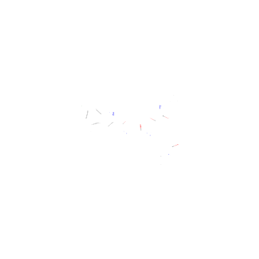 O=C(NC1CC1)C(=O)C(C[C@H]1CC2(CC2)NC1=O)NC(=O)[C@@H]1[C@H]2CCC[C@H]2CN1C(=O)c1cc2c(Cl)cc(Cl)cc2[nH]1